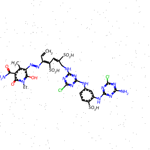 C=CC(/N=N/c1c(C)c(C(N)=O)c(=O)n(CC)c1O)=C(\C=C(/CNc1nc(Cl)nc(Nc2ccc(S(=O)(=O)O)c(Nc3nc(N)nc(Cl)n3)c2)n1)S(=O)(=O)O)S(=O)(=O)O